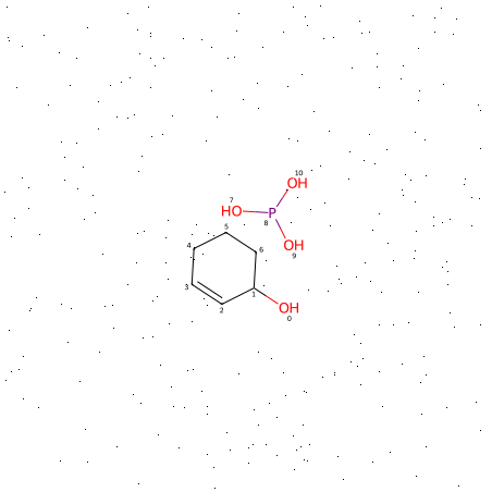 OC1C=CCCC1.OP(O)O